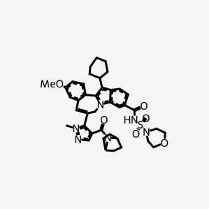 COc1ccc2c(c1)C=C(c1c(C(=O)N3C4CCC3CC4)cnn1C)Cn1c-2c(C2CCCCC2)c2ccc(C(=O)NS(=O)(=O)N3CCOCC3)cc21